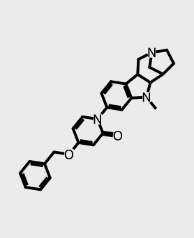 CN1c2cc(-n3ccc(OCc4ccccc4)cc3=O)ccc2C2CN3CCC(C3)C21